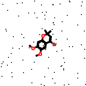 COc1cc2c(cc1OC)C(Br)=CC(C)(C)O2